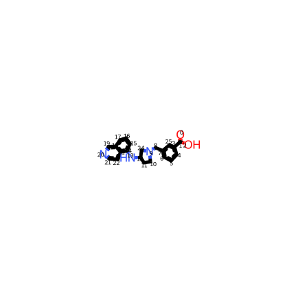 O=C(O)c1cccc(CN2CCC(Nc3cccc4cnccc34)C2)c1